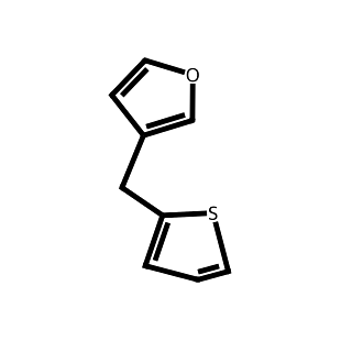 c1csc(Cc2ccoc2)c1